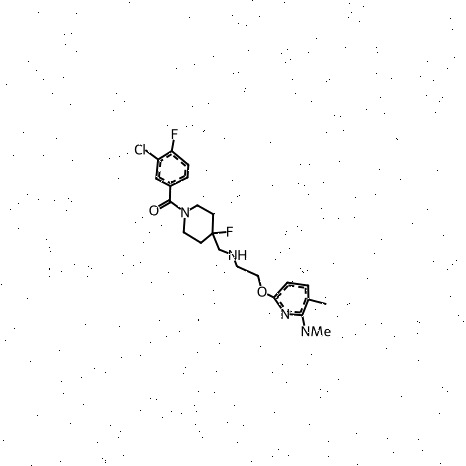 CNc1nc(OCCNCC2(F)CCN(C(=O)c3ccc(F)c(Cl)c3)CC2)ccc1C